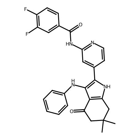 CC1(C)CC(=O)c2c([nH]c(-c3ccnc(NC(=O)c4ccc(F)c(F)c4)c3)c2Nc2ccccc2)C1